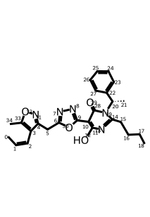 C/C=C\c1c(Cc2nnc(-c3c(O)nc(CCCC)n([C@@H](C)c4ccccc4)c3=O)o2)noc1C